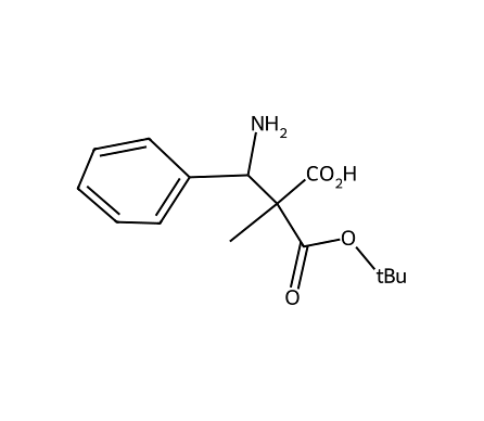 CC(C)(C)OC(=O)C(C)(C(=O)O)C(N)c1ccccc1